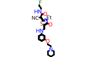 CCn1c(=C(C#N)C(=O)NCCF)sc(=CNc2cccc(OCCN3CCCCC3)c2)c1=O